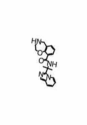 CC(C)(NC(=O)c1cccc2c1OCCNC2)c1ncc2ccccn12